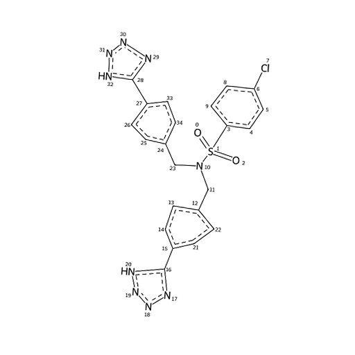 O=S(=O)(c1ccc(Cl)cc1)N(Cc1ccc(-c2nnn[nH]2)cc1)Cc1ccc(-c2nnn[nH]2)cc1